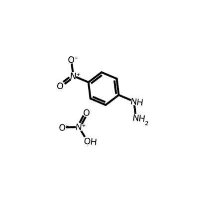 NNc1ccc([N+](=O)[O-])cc1.O=[N+]([O-])O